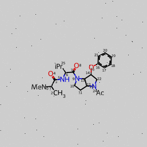 CNC(C)C(=O)NC(C(=O)N1CCC2C1C(Oc1ccccc1)CN2C(C)=O)C(C)C